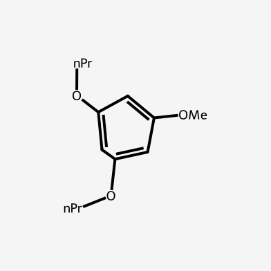 CCCOc1cc(OC)cc(OCCC)c1